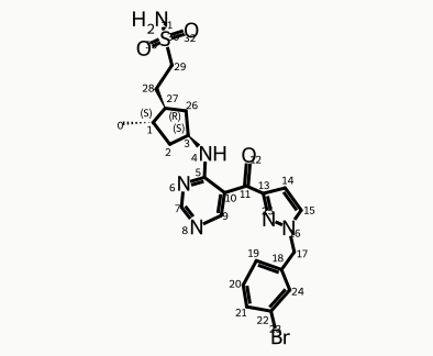 C[C@H]1C[C@H](Nc2ncncc2C(=O)c2ccn(Cc3cccc(Br)c3)n2)C[C@@H]1CCS(N)(=O)=O